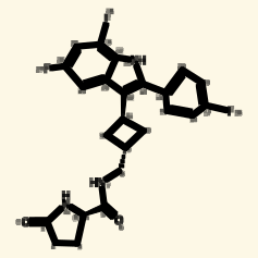 O=C1CC[C@H](C(=O)NC[C@H]2C[C@H](c3c(-c4ccc(F)cc4)[nH]c4c(F)cc(F)cc43)C2)N1